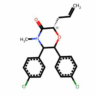 C=CC[C@@H]1OC(c2ccc(Cl)cc2)C(c2ccc(Cl)cc2)N(C)C1=O